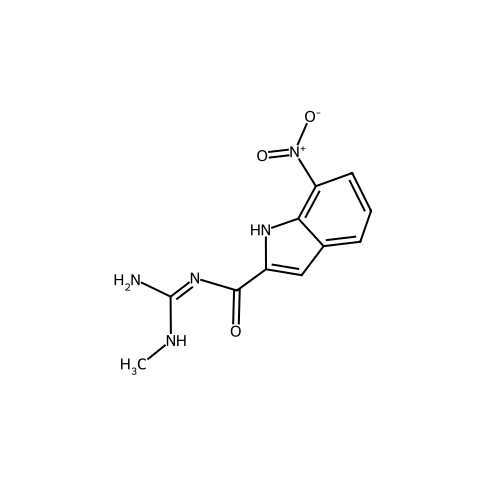 CNC(N)=NC(=O)c1cc2cccc([N+](=O)[O-])c2[nH]1